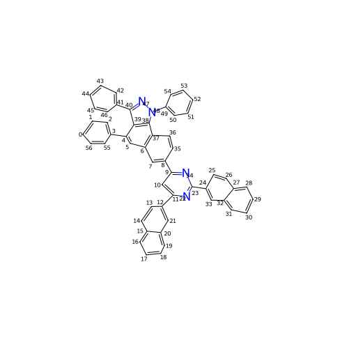 c1ccc(-c2cc3cc(-c4cc(-c5ccc6ccccc6c5)nc(-c5ccc6ccccc6c5)n4)ccc3c3c2c(-c2ccccc2)nn3-c2ccccc2)cc1